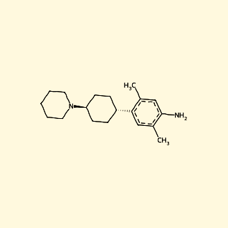 Cc1cc([C@H]2CC[C@H](N3CCCCC3)CC2)c(C)cc1N